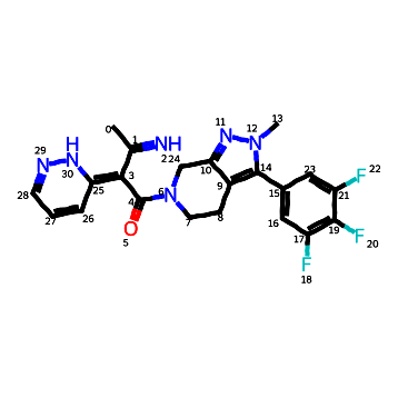 CC(=N)/C(C(=O)N1CCc2c(nn(C)c2-c2cc(F)c(F)c(F)c2)C1)=C1/C=CC=NN1